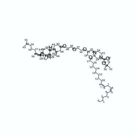 CCCCC/C=C\C/C=C\CCCCCCCCOCC(CN1CCN(C(=O)OC(C)(C)C)CC1)OCCOCCO[C@H]1CC[C@@]2(C)C(=CC[C@H]3[C@@H]4CC[C@H]([C@H](C)CCCC(C)C)[C@@]4(C)CC[C@@H]32)C1